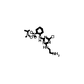 CC(C)N(C)OS(=O)(=O)c1ccccc1Nc1nc(Cl)nc(NCCN)n1